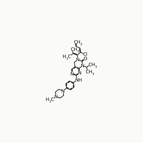 C=C/C=C(/Cl)C(=C(C)C)N1Cc2cnc(Nc3ccc(N4CCN(C)CC4)cc3)nc2N(C(C)C)C1=O